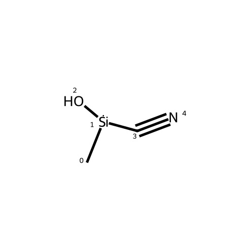 C[Si](O)C#N